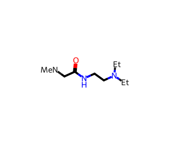 CCN(CC)CCNC(=O)CNC